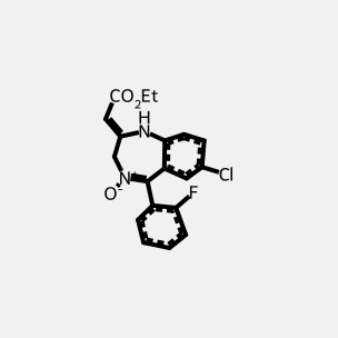 CCOC(=O)C=C1C[N+]([O-])=C(c2ccccc2F)c2cc(Cl)ccc2N1